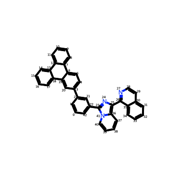 c1cc(-c2ccc3c4ccccc4c4ccccc4c3c2)cc(-c2nc(-c3nccc4ccccc34)c3ccccn23)c1